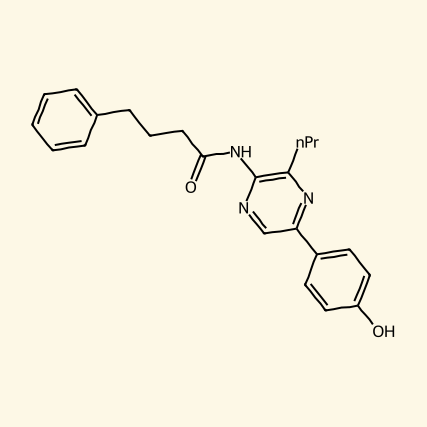 CCCc1nc(-c2ccc(O)cc2)cnc1NC(=O)CCCc1ccccc1